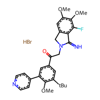 Br.COc1cc2c(c(F)c1OC)C(=N)N(CC(=O)c1cc(-c3ccncc3)c(OC)c(C(C)(C)C)c1)C2